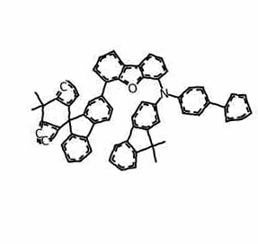 CC1(C)c2ccccc2-c2ccc(N(c3ccc(-c4ccccc4)cc3)c3cccc4c3oc3c(-c5ccc6c(c5)C5(c7ccccc7-6)c6ccccc6C(C)(C)c6ccccc65)cccc34)cc21